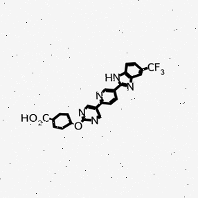 O=C(O)[C@H]1CC[C@H](Oc2ncc(-c3ccc(-c4nc5cc(C(F)(F)F)ccc5[nH]4)cn3)cn2)CC1